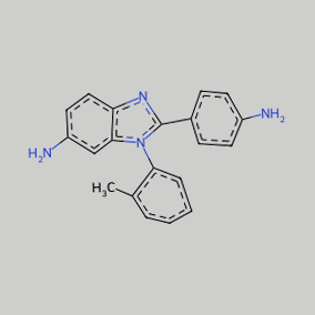 Cc1ccccc1-n1c(-c2ccc(N)cc2)nc2ccc(N)cc21